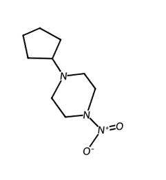 O=[N+]([O-])N1CCN(C2CCCC2)CC1